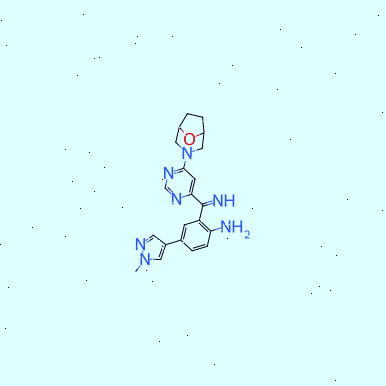 Cn1cc(-c2ccc(N)c(C(=N)c3cc(N4CC5CCC(C4)O5)ncn3)c2)cn1